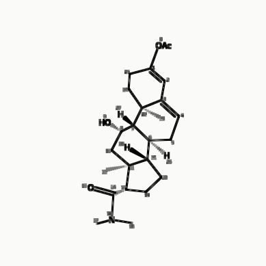 CC(=O)OC1=CC2=CC[C@@H]3[C@H]([C@@H](O)C[C@]4(C)[C@@H](C(=O)N(C)C)CC[C@@H]34)[C@@]2(C)CC1